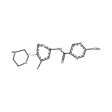 COc1cnc(C(=O)Nc2ccc([C@H]3CNCCO3)c(F)c2)cn1